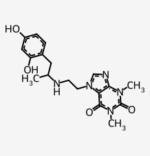 CC(Cc1ccc(O)cc1O)NCCn1cnc2c1c(=O)n(C)c(=O)n2C